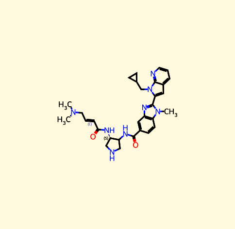 CN(C)C/C=C/C(=O)N[C@H]1CNCC1NC(=O)c1ccc2c(c1)nc(-c1cc3cccnc3n1CC1CC1)n2C